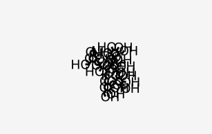 COC(OC1C(CO)OC2OC(C)NC2C1O)C(O)C(O[C@H]1O[C@@H](CO)C(O)C(O)C1O[C@H]1O[C@@H](CO)C(O)C(O)C1O)C(O)C(C)COC1OC(CO)C(O)C(O)C1OC1OC(CO)C(O)C(O)C1O